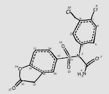 NC(=O)N(c1ccc(Cl)c(Cl)c1)S(=O)(=O)c1ccc2c(c1)CC(=O)O2